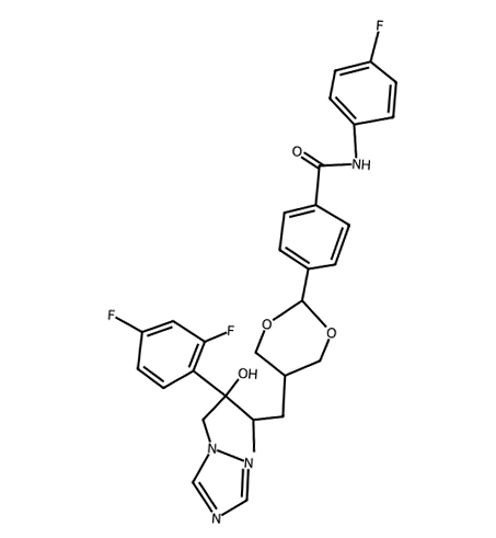 CC(CC1COC(c2ccc(C(=O)Nc3ccc(F)cc3)cc2)OC1)C(O)(Cn1cncn1)c1ccc(F)cc1F